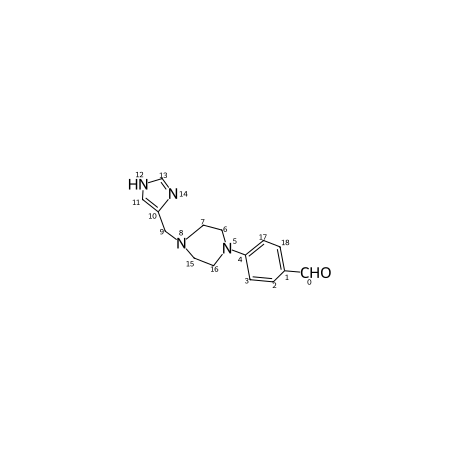 O=Cc1ccc(N2CCN(Cc3c[nH]cn3)CC2)cc1